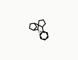 OC1C2CCC(C2)C12CCCC2c1ccccc1